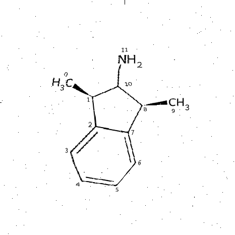 C[C@@H]1c2ccccc2[C@H](C)C1N